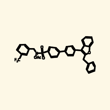 CC(=O)ON(Cc1cccc(C(F)(F)F)c1)S(=O)(=O)c1ccc(-c2ccc(-c3c(Cc4ccccc4)oc4ccccc34)cc2)cc1